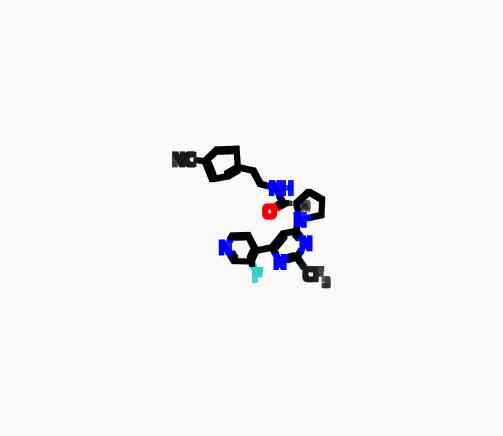 N#Cc1ccc(CCNC(=O)[C@@H]2CCCN2c2cc(-c3ccncc3F)nc(C(F)(F)F)n2)cc1